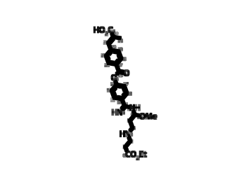 CCOC(=O)CCNCCC(NC(=N)c1ccc(OC(=O)c2ccc(C=C(C)C(=O)O)cc2)cc1)OC